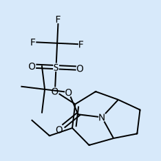 CCC1=C(OS(=O)(=O)C(F)(F)F)CC2CCC(C1)N2C(=O)OC(C)(C)C